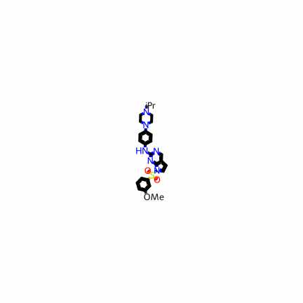 COc1cccc(S(=O)(=O)n2ccc3cnc(Nc4ccc(N5CCN(C(C)C)CC5)cc4)nc32)c1